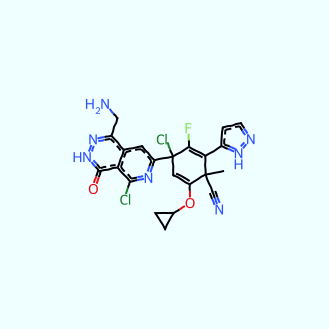 CC1(C#N)C(OC2CC2)=CC(Cl)(c2cc3c(CN)n[nH]c(=O)c3c(Cl)n2)C(F)=C1c1ccn[nH]1